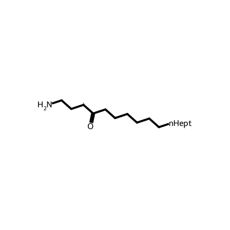 CCCCCCCCCCCCCC(=O)[CH]CCN